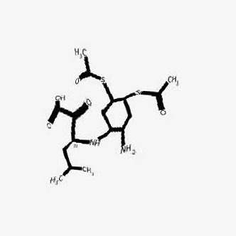 CC(=O)SC1CC(N)C(N[C@@H](CC(C)C)C(=O)C(=O)O)CC1SC(C)=O